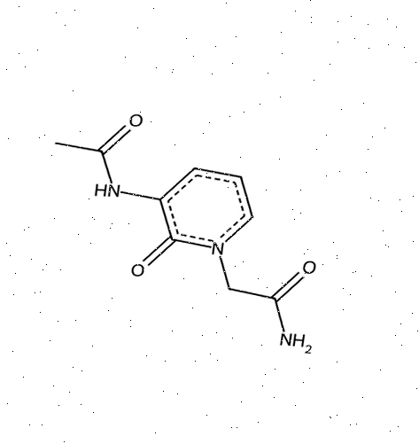 CC(=O)Nc1cccn(CC(N)=O)c1=O